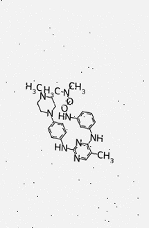 Cc1cnc(Nc2ccc(N3CCN(C)CC3)cc2)nc1Nc1cccc(NOON(C)C)c1